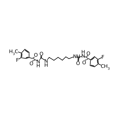 Cc1ccc(S(=O)(=O)NC(=O)NCCCCCCNC(=O)NS(=O)(=O)c2ccc(C)c(F)c2)cc1F